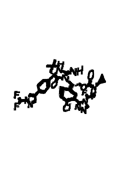 CC(C)(C)C[C@]1(c2ccc(-c3cnn(C(F)F)c3)cc2)NC(=N)N([C@H](COC(=O)NC2CC2)c2ccc(Cl)c(-c3nncn3C(F)F)c2)C1=O